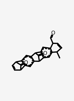 CC1C=CC(C=O)c2cc3c(cc21)C1C(=O)C3c2cc3c(cc21)C1C=CC3C1=O